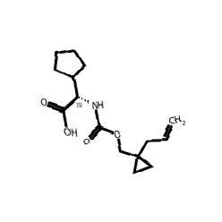 C=CCC1(COC(=O)N[C@H](C(=O)O)C2CCCC2)CC1